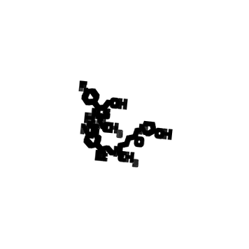 CCc1nc2ccc(C(CC)CCN(C)CCCC(=O)CN3CCC(O)C3)cn2c1N(C)c1nc(-c2ccc(F)cc2)c(CO)s1